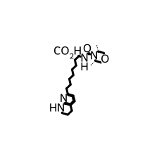 C[C@@H]1COC[C@H](C)N1C(=O)NC(CCCCCCCc1ccc2c(n1)NCCC2)C(=O)O